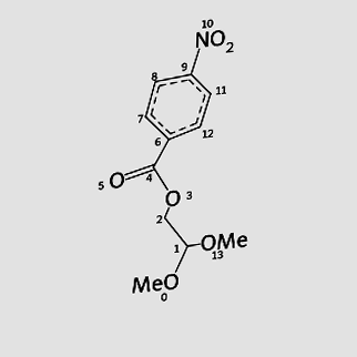 COC(COC(=O)c1ccc([N+](=O)[O-])cc1)OC